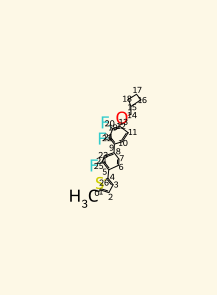 Cc1ccc(-c2ccc(-c3ccc(OCC4CCC4)c(F)c3F)cc2F)s1